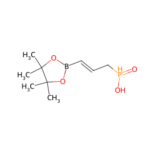 CC1(C)OB(C=CC[PH](=O)O)OC1(C)C